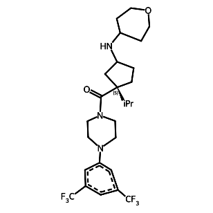 CC(C)[C@]1(C(=O)N2CCN(c3cc(C(F)(F)F)cc(C(F)(F)F)c3)CC2)CCC(NC2CCOCC2)C1